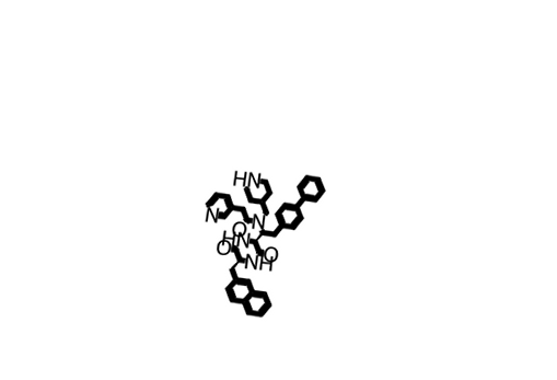 O=C1N[C@@H](C(Cc2ccc(-c3ccccc3)cc2)N(CC2CCNCC2)C(=O)Cc2cccnc2)C(=O)N[C@H]1Cc1ccc2ccccc2c1